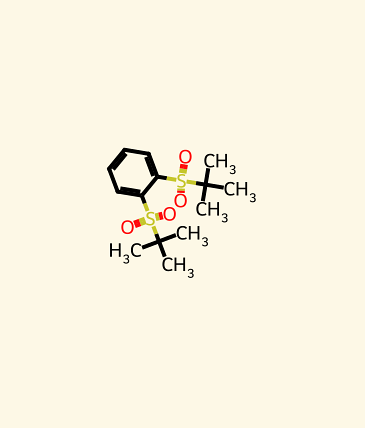 CC(C)(C)S(=O)(=O)c1ccccc1S(=O)(=O)C(C)(C)C